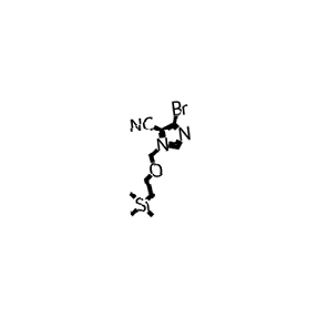 C[Si](C)(C)CCOCn1cnc(Br)c1C#N